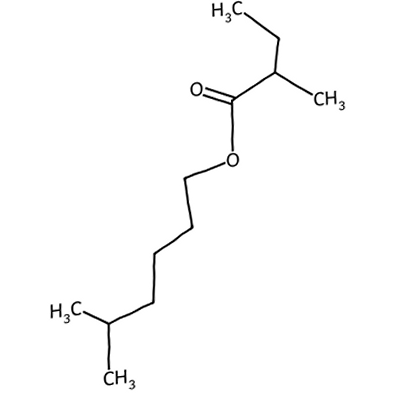 CCC(C)C(=O)OCCCCC(C)C